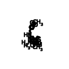 CC(C)(C)NS(=O)(=O)c1sccc1-c1cc(NCCc2ccc(S(C)(=O)=O)cc2)nc(N)n1